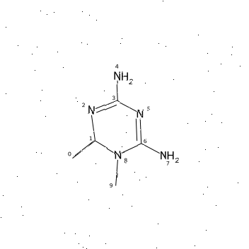 CC1N=C(N)N=C(N)N1C